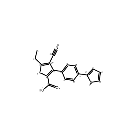 CCc1sc(C(=O)O)c(-c2ccc(-c3cccs3)cc2)c1C#N